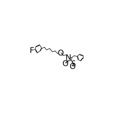 O=S=C1C(=O)N(CCOCCCCCCc2ccc(F)cc2)C1Cc1ccccc1